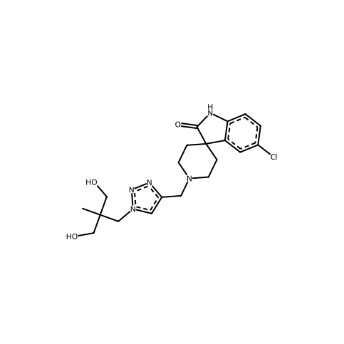 CC(CO)(CO)Cn1cc(CN2CCC3(CC2)C(=O)Nc2ccc(Cl)cc23)nn1